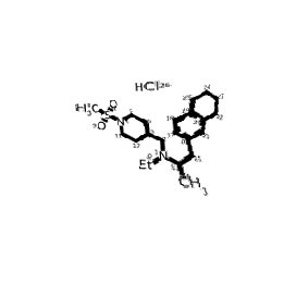 CCN(CC1CCN(S(C)(=O)=O)CC1)C(C)Cc1ccc2c(c1)CCCC2.Cl